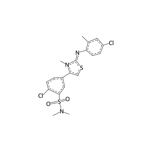 Cc1cc(Cl)ccc1N=c1scc(-c2ccc(Cl)c(S(=O)(=O)N(C)C)c2)n1C